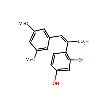 COc1cc(C=C(C(=O)O)c2ccc(O)cc2Br)cc(OC)c1